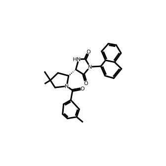 Cc1cccc(C(=O)N2CC(C)(C)CC2[C@@H]2NC(=O)N(c3cccc4ccccc34)C2=O)c1